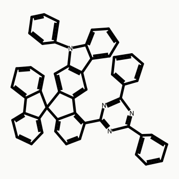 c1ccc(-c2nc(-c3ccccc3)nc(-c3cccc4c3-c3cc5c6ccccc6n(-c6ccccc6)c5cc3C43c4ccccc4-c4ccccc43)n2)cc1